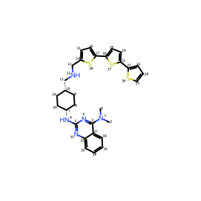 CN(C)c1nc(N[C@H]2CC[C@@H](CNCc3ccc(-c4ccc(-c5cccs5)s4)s3)CC2)nc2ccccc12